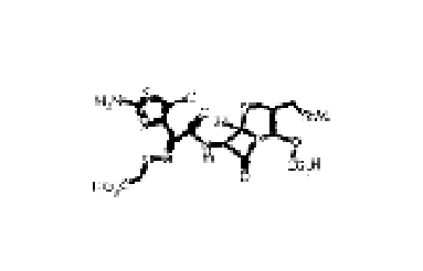 CSCC1=C(OC(=O)O)N2C(=O)C(NC(=O)C(=NOCC(=O)O)c3nc(N)sc3Cl)[C@@H]2SC1